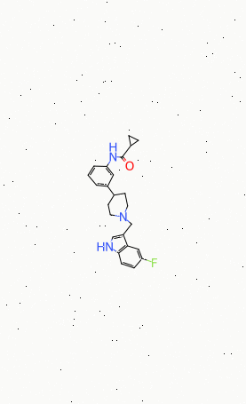 O=C(Nc1cccc(C2CCN(Cc3c[nH]c4ccc(F)cc34)CC2)c1)C1CC1